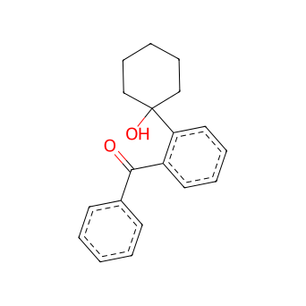 O=C(c1ccccc1)c1ccccc1C1(O)CCCCC1